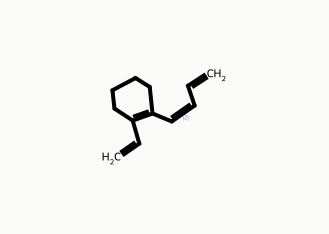 C=C/C=C\C1=C(C=C)CCCC1